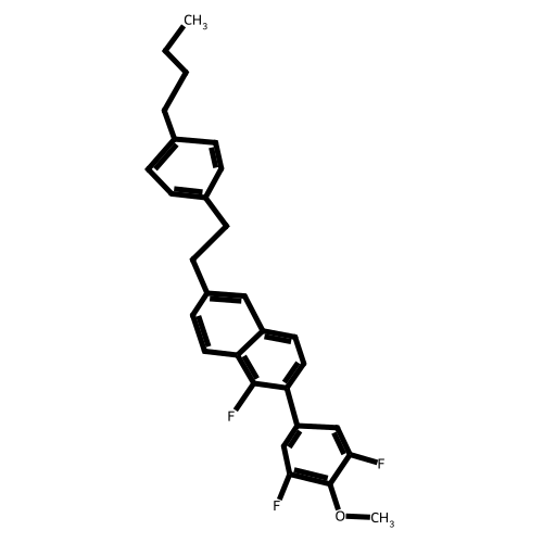 CCCCc1ccc(CCc2ccc3c(F)c(-c4cc(F)c(OC)c(F)c4)ccc3c2)cc1